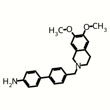 COc1cc2c(cc1OC)CN(Cc1ccc(-c3ccc(N)cc3)cc1)CC2